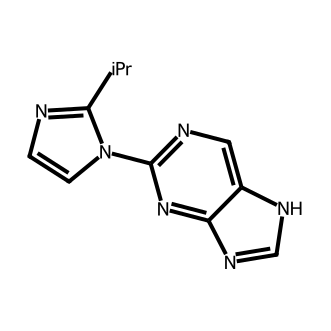 CC(C)c1nccn1-c1ncc2[nH]cnc2n1